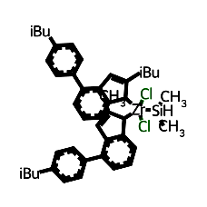 CCC(C)C1=Cc2c(-c3ccc(C(C)CC)cc3)cccc2[CH]1[Zr]([Cl])([Cl])([CH]1C(C)=Cc2c(-c3ccc(C(C)CC)cc3)cccc21)[SiH](C)C